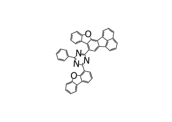 c1ccc(-c2nc(-c3cccc4c3oc3ccccc34)nc(-c3cc4c(c5oc6ccccc6c35)-c3cccc5cccc-4c35)n2)cc1